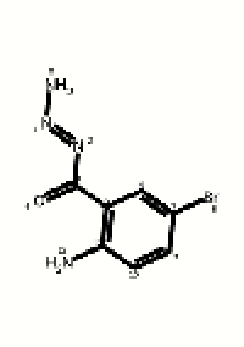 NN=NC(=O)c1cc(Br)ccc1N